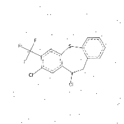 FC(F)(F)c1cc2c(cc1Cl)C(Cl)Cc1ccccc1S2